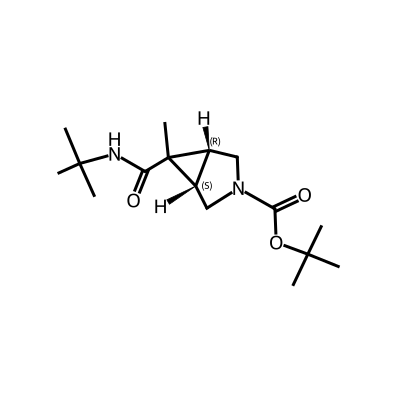 CC(C)(C)NC(=O)C1(C)[C@@H]2CN(C(=O)OC(C)(C)C)C[C@@H]21